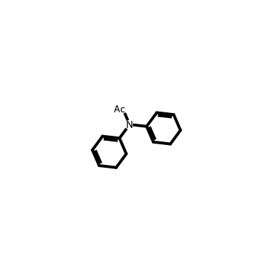 CC(=O)N(C1=CCCC=C1)C1=CC=CCC1